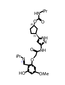 COc1cc(O)c(/C=N/C(C)C)c(OCC(=O)Nc2cc([C@H]3CC[C@@H](OC(=O)NC(C)C)C3)[nH]n2)c1